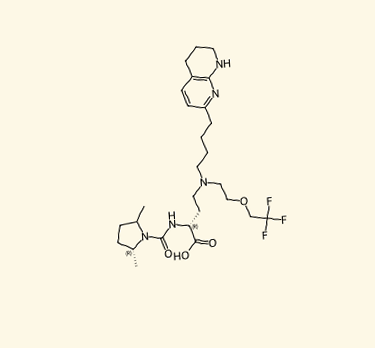 CC1CC[C@@H](C)N1C(=O)N[C@H](CCN(CCCCc1ccc2c(n1)NCCC2)CCOCC(F)(F)F)C(=O)O